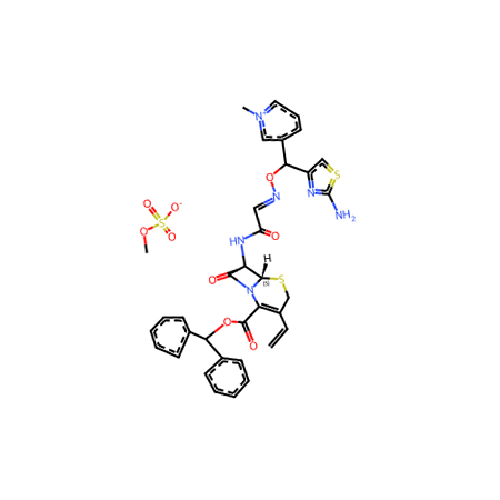 C=CC1=C(C(=O)OC(c2ccccc2)c2ccccc2)N2C(=O)C(NC(=O)C=NOC(c3ccc[n+](C)c3)c3csc(N)n3)[C@@H]2SC1.COS(=O)(=O)[O-]